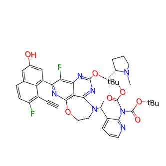 C#Cc1c(F)ccc2cc(O)cc(-c3nc4c5c(nc(OC[C@@H]6CCCN6C)nc5c3F)N(C(C)c3cccnc3N(C(=O)OC(C)(C)C)C(=O)OC(C)(C)C)CCO4)c12